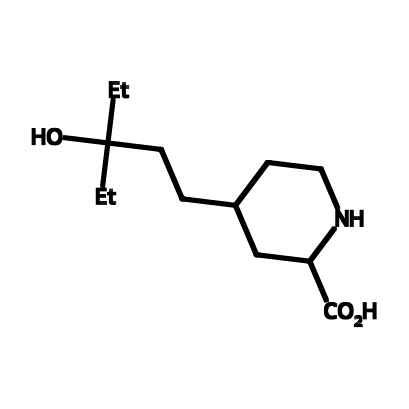 CCC(O)(CC)CCC1CCNC(C(=O)O)C1